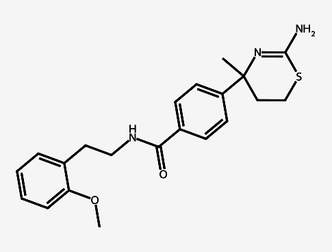 COc1ccccc1CCNC(=O)c1ccc(C2(C)CCSC(N)=N2)cc1